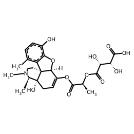 Cc1ccc(O)c2c1[C@]13CCN(C)[C@H](C)[C@]1(O)CC=C(OC(=O)[C@H](C)OC(=O)[C@H](O)[C@@H](O)C(=O)O)[C@@H]3O2